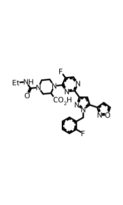 CCNC(=O)N1CCN(c2nc(-c3cc(-c4ccon4)n(Cc4ccccc4F)n3)ncc2F)C(C(=O)O)C1